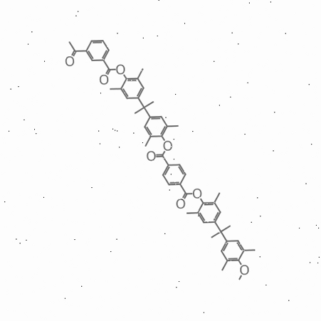 COc1c(C)cc(C(C)(C)c2cc(C)c(OC(=O)c3ccc(C(=O)Oc4c(C)cc(C(C)(C)c5cc(C)c(OC(=O)c6cccc(C(C)=O)c6)c(C)c5)cc4C)cc3)c(C)c2)cc1C